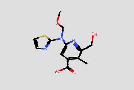 COCN(c1cc(C(=O)O)c(C)c(CO)n1)c1nccs1